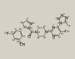 Cc1nnnn1-c1nc(N2CCN(C(=O)N3N=CC[C@H]3c3cc(F)cc(C#N)c3)CC2)ncc1F